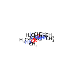 CCC[C@H](NC(=O)[C@@H](NC(=O)C1CCCN1C(=O)[C@@H](C)/C=C/[C@H](C)NC)C(C)C)C(=O)NC